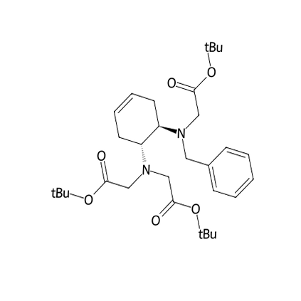 CC(C)(C)OC(=O)CN(CC(=O)OC(C)(C)C)[C@@H]1CC=CC[C@H]1N(CC(=O)OC(C)(C)C)Cc1ccccc1